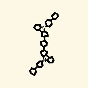 C1=CC(n2c3ccccc3c3cc(-c4ccc(-c5ccc6c(c5)c5ccccc5n6-c5ccc(-c6ccccc6)cc5)cc4)ccc32)CC=C1c1ccccc1